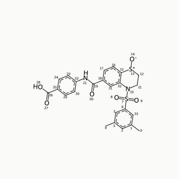 Cc1cc(C)cc(S(=O)(=O)N2CC[S+]([O-])c3ccc(C(=O)Nc4ccc(C(=O)O)cc4)cc32)c1